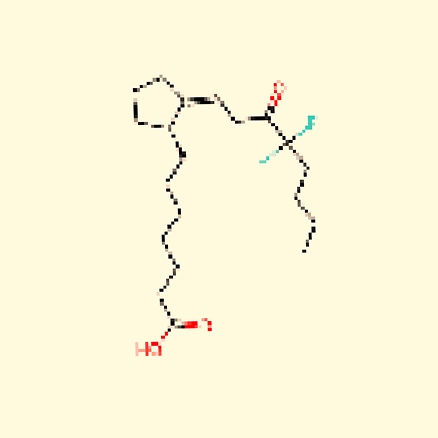 CCCCC(F)(F)C(=O)C/C=C1/CCC[C@@H]1CCCCCCC(=O)O